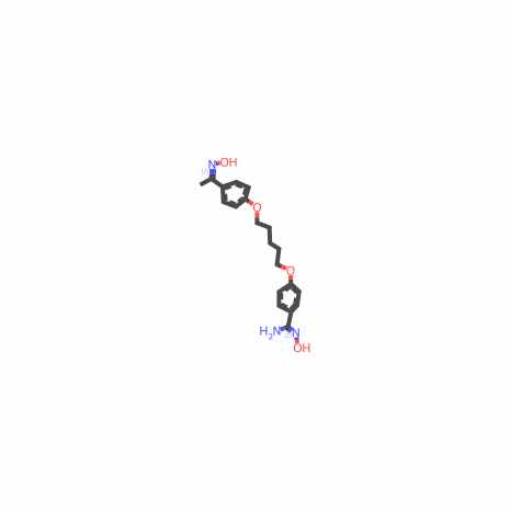 C/C(=N/O)c1ccc(OCCCCCOc2ccc(/C(N)=N/O)cc2)cc1